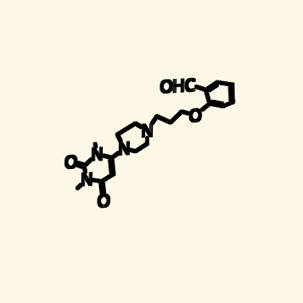 Cn1c(N2CCN(CCCOc3ccccc3C=O)CC2)cc(=O)n(C)c1=O